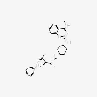 Cc1nn(-c2ccccc2)nc1C(=O)NC[C@H]1CC[C@@H](Nc2nc(N(C)C)c3ccccc3n2)CC1